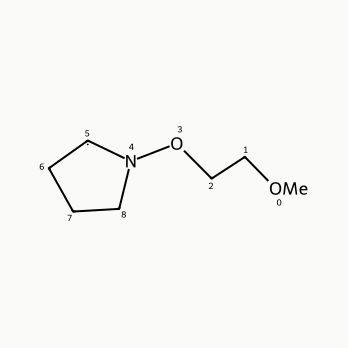 COCCON1[CH]CCC1